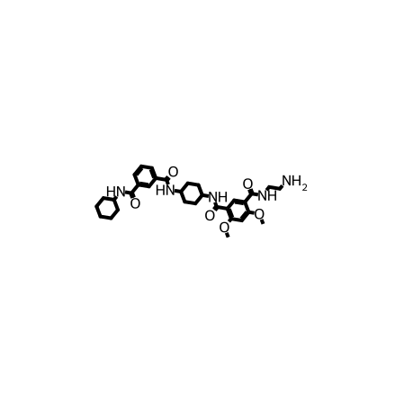 COc1cc(OC)c(C(=O)NC2CCC(NC(=O)c3cccc(C(=O)NC4CCCCC4)c3)CC2)cc1C(=O)NCCN